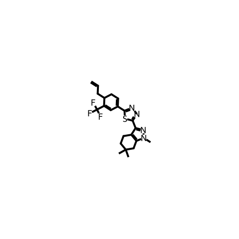 C=CCC1CC=C(c2nnc(-c3nn(C)c4c3CCC(C)(C)C4)s2)C=C1C(F)(F)F